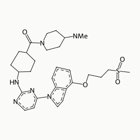 CNC1CCN(C(=O)C2CCC(Nc3nccc(-n4ccc5c(OCCCS(C)(=O)=O)cccc54)n3)CC2)CC1